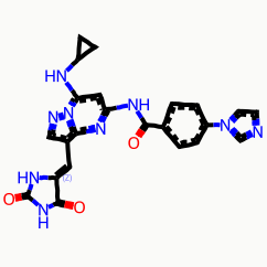 O=C1NC(=O)/C(=C/c2cnn3c(NC4CC4)cc(NC(=O)c4ccc(-n5ccnc5)cc4)nc23)N1